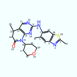 Cc1nc2cc(C)c(Nc3ncc4c(n3)N(C3CCOCC3)C(=O)CC4C)cc2s1